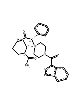 NC(=O)[C@H]1CCCC[C@@H]1[N+]1([C@H](C(N)=O)c2ccccc2)CCN(C(=O)c2n[nH]c3ccccc23)CC1